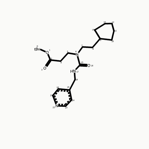 CC(C)(C)OC(=O)CCN(CCC1CCCCC1)C(=O)NCc1ccncc1